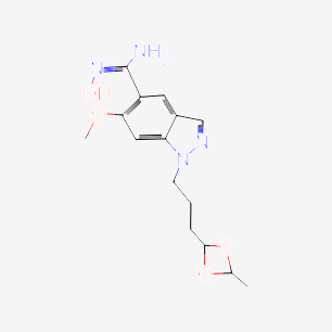 COc1cc2c(cnn2CCCC2OC(C)O2)cc1/C(N)=N\O